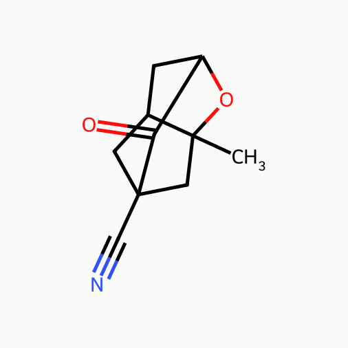 CC12CC3(C#N)CC1CC(O2)C3=O